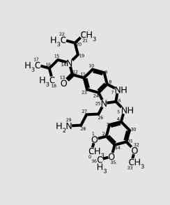 COc1cc(NC2Nc3ccc(C(=O)N(CC(C)C)CC(C)C)cc3N2CCCN)cc(OC)c1OC